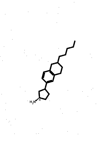 CCCCCC1CCc2cc(C3CC[C@@H](N)C3)ccc2C1